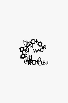 COC(=O)[C@H]1CC[C@@H](CN2CCc3c(nc(C(=O)Nc4cccc(-c5cccc(NC(=O)c6nc7c(n6C)CCN(C(=O)OC(C)(C)C)C7)c5Cl)c4Cl)n3C)C2)CC1